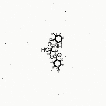 Cc1cccc(NC(=O)C(C)(O)CS(=O)(=O)c2ccc(F)cc2)c1F